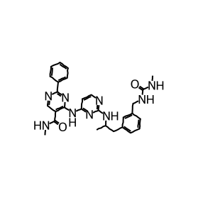 CNC(=O)NCc1cccc(CC(C)Nc2nccc(Nc3nc(-c4ccccc4)ncc3C(=O)NC)n2)c1